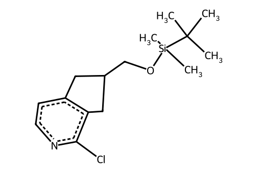 CC(C)(C)[Si](C)(C)OCC1Cc2ccnc(Cl)c2C1